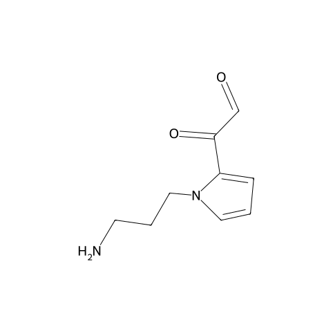 NCCCn1cccc1C(=O)C=O